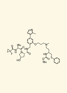 Cc1ncsc1-c1ccc(CNC(=O)[C@@H]2C[C@@H](O)CN2C(=O)C(NC(=O)C2(F)CC2)C(C)(C)C)c(OCCCN(C)CCC(CSc2ccccc2)NC(=O)OC(C)(C)C)c1